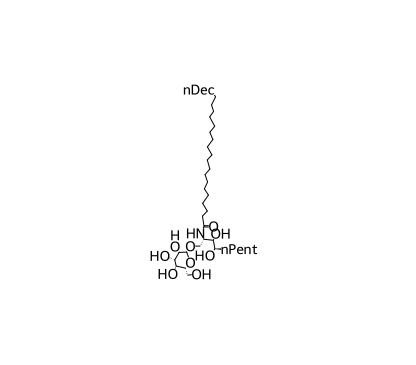 CCCCCCCCCCCCCCCCCCCCCCCCCCCCC(=O)N[C@@H](CO[C@H]1O[C@H](CO)[C@H](O)[C@H](O)[C@H]1O)[C@H](O)[C@H](O)CCCCC